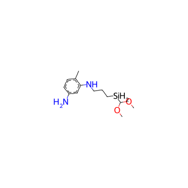 COC(OC)[SiH2]CCCNc1cc(N)ccc1C